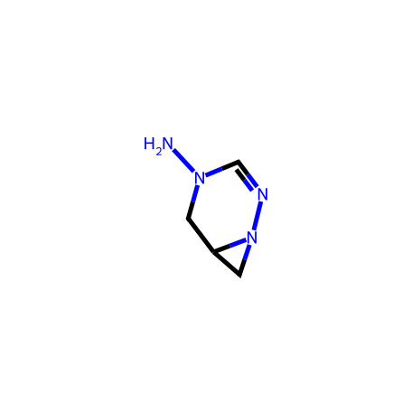 NN1C=NN2CC2C1